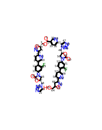 O=C(OC[C@@H]1CC(c2ccc(-c3ccc(N4C[C@H](Cn5ccnn5)OC4=O)cc3F)cn2)=NO1)c1cccnc1.O=C1O[C@@H](Cn2ccnn2)CN1c1ccc(-c2ccc(C3=NOC(CO)C3)nc2)c(F)c1